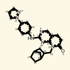 O=c1ccc2cnc(Nc3ccc(-n4cccn4)cc3)nc2n1CC1CC2CCC1C2